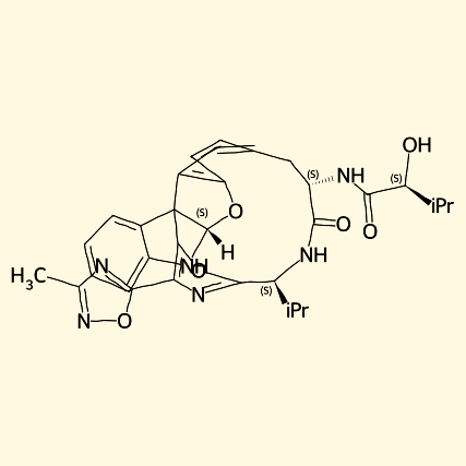 Cc1noc(-c2nc3oc2C24c5ccccc5N[C@H]2Oc2ccc(cc24)C[C@H](NC(=O)[C@@H](O)C(C)C)C(=O)N[C@H]3C(C)C)n1